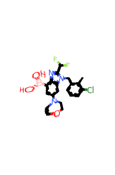 Cc1c(Cl)cccc1Cn1c(C(F)F)nc2c(B(O)O)cc(N3CCOCC3)cc21